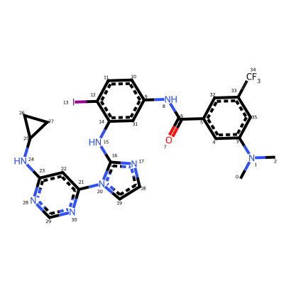 CN(C)c1cc(C(=O)Nc2ccc(I)c(Nc3nccn3-c3cc(NC4CC4)ncn3)c2)cc(C(F)(F)F)c1